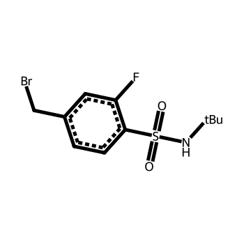 CC(C)(C)NS(=O)(=O)c1ccc(CBr)cc1F